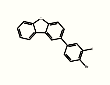 Brc1ccc(-c2ccc3oc4ccccc4c3c2)cc1I